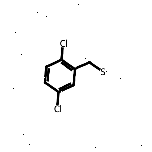 [S]Cc1cc(Cl)ccc1Cl